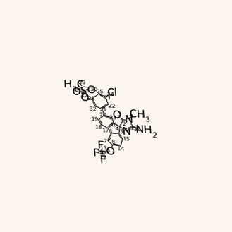 CN1C(=O)C(c2ccc(OC(F)(F)F)cc2)(c2cccc(-c3cc(Cl)cc(OS(C)(=O)=O)c3)c2)N=C1N